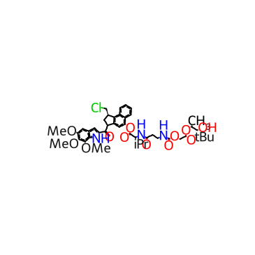 COc1cc2cc(C(=O)C3C[C@@H](CCl)c4c3cc(OC(=O)[C@@H](NC(=O)CCNC(=O)OCC(OC(C)CO)OC(C)(C)C)C(C)C)c3ccccc43)[nH]c2c(OC)c1OC